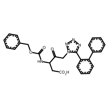 O=C(O)CC(NC(=O)OCc1ccccc1)C(=O)Cn1nnnc1-c1ccccc1-c1ccccc1